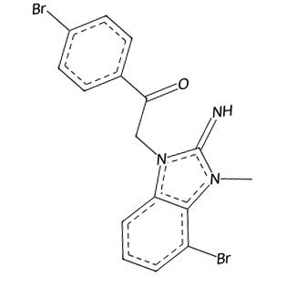 Cn1c(=N)n(CC(=O)c2ccc(Br)cc2)c2cccc(Br)c21